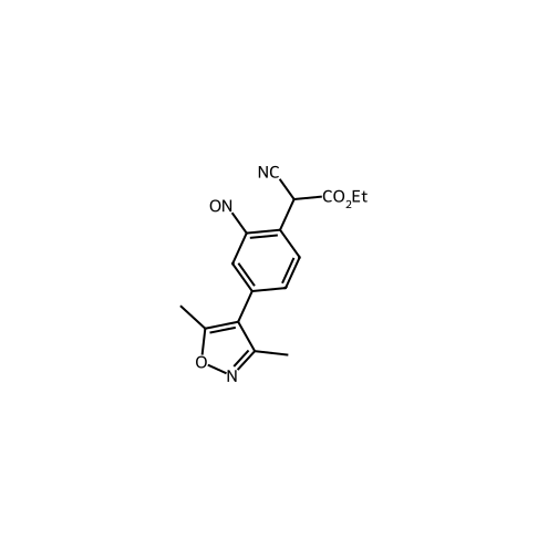 CCOC(=O)C(C#N)c1ccc(-c2c(C)noc2C)cc1N=O